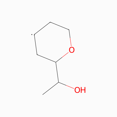 CC(O)C1C[CH]CCO1